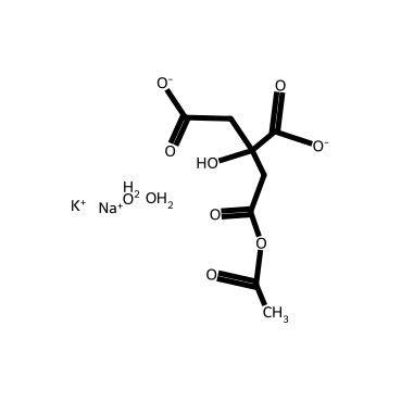 CC(=O)OC(=O)CC(O)(CC(=O)[O-])C(=O)[O-].O.O.[K+].[Na+]